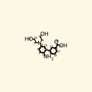 Nc1ccc(N(CCO)CCO)cc1-c1cccc(C(=O)O)c1